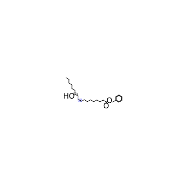 CCCCCC[C@@H](O)C/C=C\CCCCCCCC(=O)OCc1ccccc1